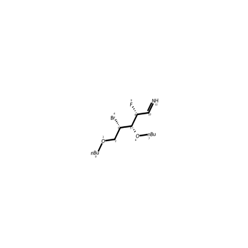 CCCCOC[C@H](Br)[C@@H](OCCCC)[C@H](F)C=N